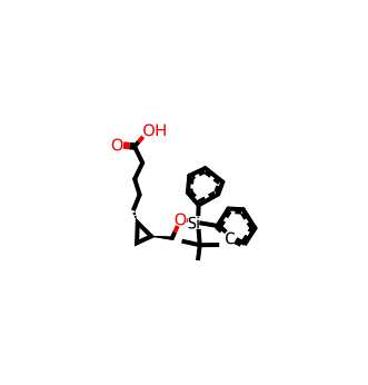 CC(C)(C)[Si](OC[C@H]1C[C@@H]1CCCCC(=O)O)(c1ccccc1)c1ccccc1